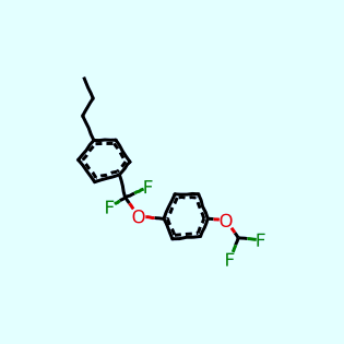 CCCc1ccc(C(F)(F)Oc2ccc(OC(F)F)cc2)cc1